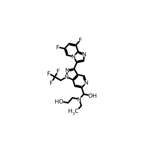 CCN(CCO)C(O)c1cc2c(cn1)c(-c1cnc3c(F)cc(F)cn13)nn2CC(F)(F)F